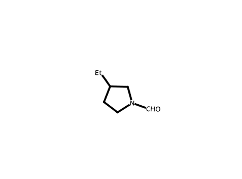 CCC1CCN(C=O)C1